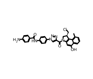 Cc1cccc2c(O)cc3c(c12)[C@H](CCl)CN3C(=O)c1cn(-c2ccc(NC(=O)c3ccc(N)cc3)cc2)nn1